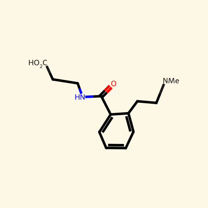 CNCCc1ccccc1C(=O)NCCC(=O)O